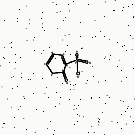 O=C1CC=CC=C1S(=O)(=O)Cl